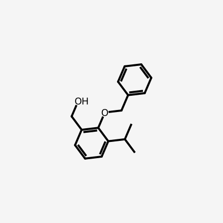 CC(C)c1cccc(CO)c1OCc1ccccc1